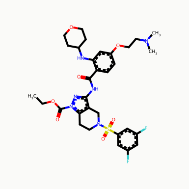 CCOC(=O)n1nc(NC(=O)c2ccc(OCCN(C)C)cc2NC2CCOCC2)c2c1CCN(S(=O)(=O)c1cc(F)cc(F)c1)C2